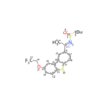 C/C(=N\[S@+]([O-])C(C)(C)C)c1ccc2sc3ccc(OCC(F)(F)F)cc3c2c1